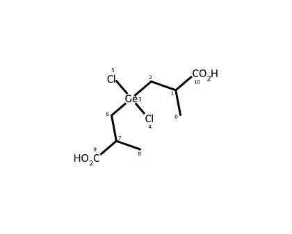 CC([CH2][Ge]([Cl])([Cl])[CH2]C(C)C(=O)O)C(=O)O